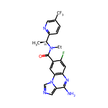 CCN(C(=O)c1cc2c(cc1F)nc(N)c1cncn12)[C@@H](C)c1ccc(C(F)(F)F)cn1